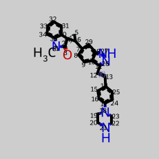 CN1C(=O)[C@@]2(CC2c2ccc3c(/C=C/c4ccc(N5CCNCC5)cc4)n[nH]c3c2)c2ccccc21